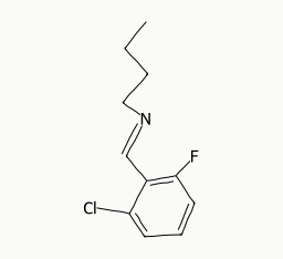 CCCC/N=C/c1c(F)cccc1Cl